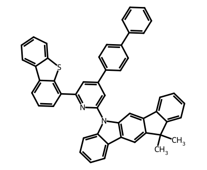 CC1(C)c2ccccc2-c2cc3c(cc21)c1ccccc1n3-c1cc(-c2ccc(-c3ccccc3)cc2)cc(-c2cccc3c2sc2ccccc23)n1